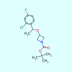 CC(OC1CN(C(=O)OC(C)(C)C)C1)c1ccc(F)cc1Cl